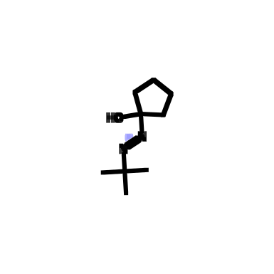 CC(C)(C)/N=N/C1(O)CCCC1